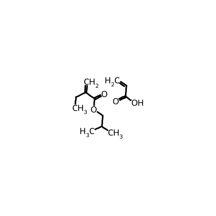 C=C(CC)C(=O)OCC(C)C.C=CC(=O)O